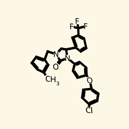 Cc1cccc(CN2CC(c3cccc(C(F)(F)F)c3)N(c3ccc(Oc4ccc(Cl)cc4)cc3)C2=O)c1